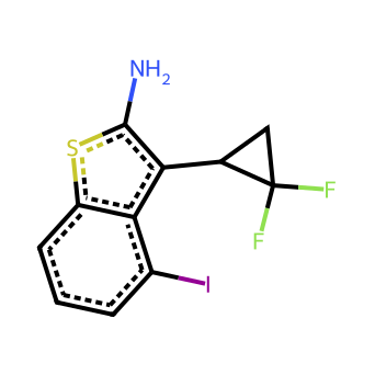 Nc1sc2cccc(I)c2c1C1CC1(F)F